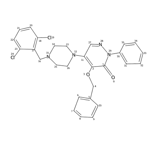 O=c1c(OCc2ccccc2)c(N2CCN(Cc3c(Cl)cccc3Cl)CC2)cnn1-c1ccccc1